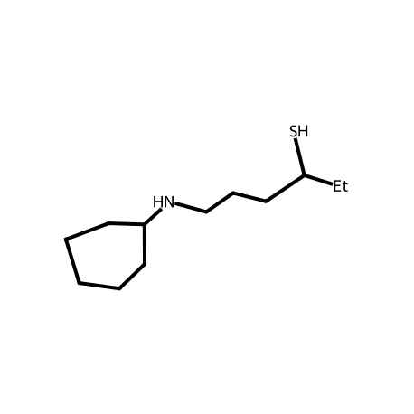 CCC(S)CCCNC1CCCCC1